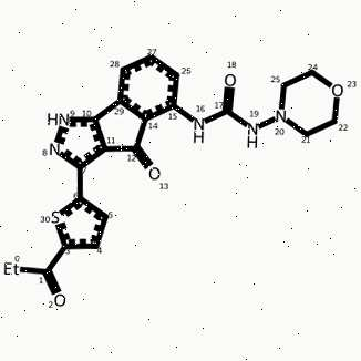 CCC(=O)c1ccc(-c2n[nH]c3c2C(=O)c2c(NC(=O)NN4CCOCC4)cccc2-3)s1